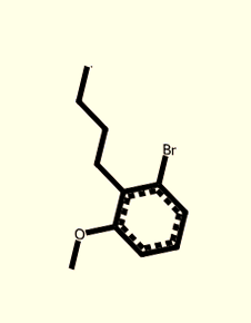 [CH2]CCCc1c(Br)cccc1OC